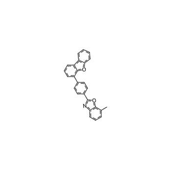 Cc1cccc2nc(-c3ccc(-c4cccc5c4oc4ccccc45)cc3)oc12